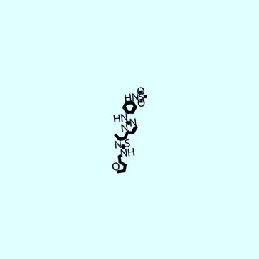 Cc1nc(NCC2CCCO2)sc1-c1ccnc(Nc2ccc(NS(C)(=O)=O)cc2)n1